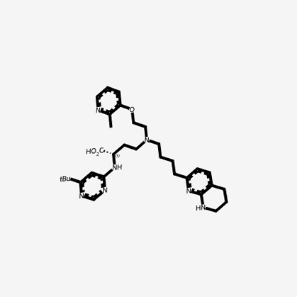 Cc1ncccc1OCCN(CCCCc1ccc2c(n1)NCCC2)CC[C@H](Nc1cc(C(C)(C)C)ncn1)C(=O)O